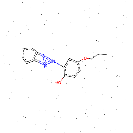 CCCOc1ccc(O)c(-n2n3c4ccccc4n23)c1